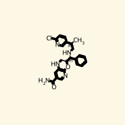 C[C@@H](CN[C@H](c1ccccc1)[C@@H]1CNc2cc(C(N)=O)cnc2O1)c1ccc(Cl)nc1